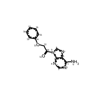 Nc1ncnc2c1ncn2C(=O)COc1ccccc1